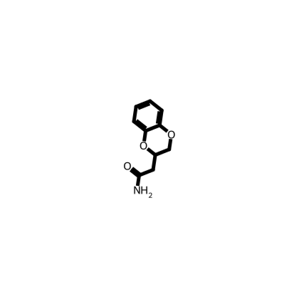 NC(=O)CC1COc2ccccc2O1